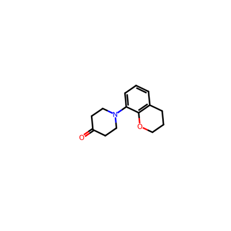 O=C1CCN(c2cccc3c2OCCC3)CC1